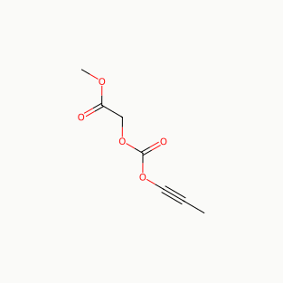 CC#COC(=O)OCC(=O)OC